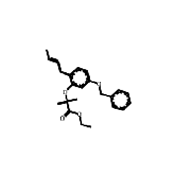 CC=CCc1ccc(OCc2ccccc2)cc1OC(C)(C)C(=O)OCC